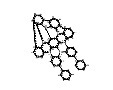 c1ccc(-c2ccc3c(c2)B2c4cc(-c5ccccc5)ccc4-n4c5cccc6c7ccc8c9c7n(c7c%10c%11c(c2c74)n-3c2cccc3c4ccc-8c(c4n%11c32)B9%10)c65)cc1